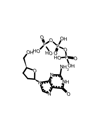 Nc1nc2c(ncn2[C@H]2CC[C@@H](CO)O2)c(=O)[nH]1.O=P(O)(O)OP(=O)(O)OP(=O)(O)O